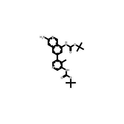 Cc1c(NC(=O)OC(C)(C)C)cncc1-c1cc(NC(=O)OC(C)(C)C)c2cnc(N)cc2c1